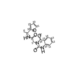 CC(NC(=O)Cn1c(=O)[nH]c2ccccc2c1=O)c1ccco1